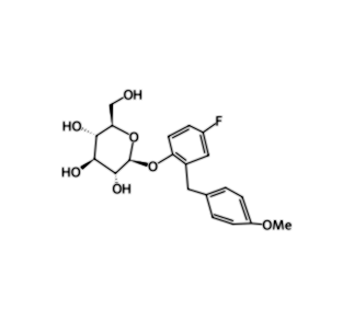 COc1ccc(Cc2cc(F)ccc2O[C@@H]2O[C@H](CO)[C@@H](O)[C@H](O)[C@H]2O)cc1